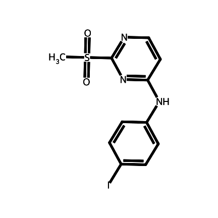 CS(=O)(=O)c1nccc(Nc2ccc(I)cc2)n1